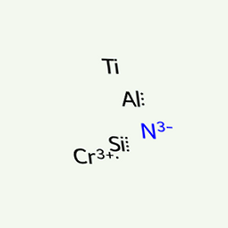 [Al].[Cr+3].[N-3].[Si].[Ti]